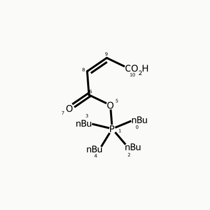 CCCCP(CCCC)(CCCC)(CCCC)OC(=O)/C=C\C(=O)O